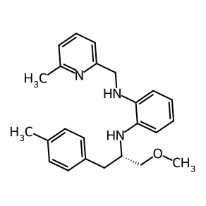 COC[C@H](Cc1ccc(C)cc1)Nc1ccccc1NCc1cccc(C)n1